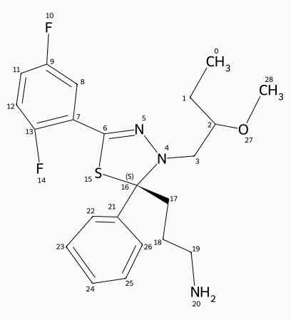 CCC(CN1N=C(c2cc(F)ccc2F)S[C@@]1(CCCN)c1ccccc1)OC